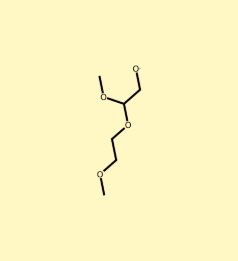 COCCOC(C[O])OC